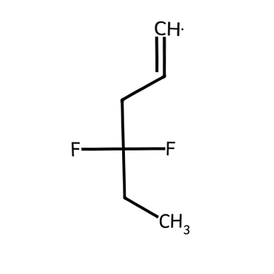 [CH]=CCC(F)(F)CC